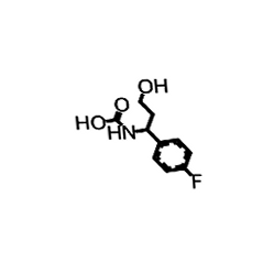 O=C(O)NC(CCO)c1ccc(F)cc1